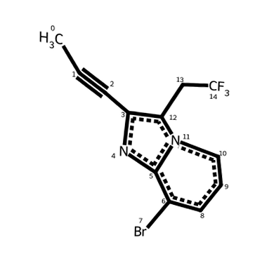 CC#Cc1nc2c(Br)cccn2c1CC(F)(F)F